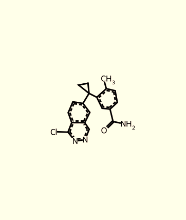 Cc1ccc(C(N)=O)cc1C1(c2ccc3c(Cl)nncc3c2)CC1